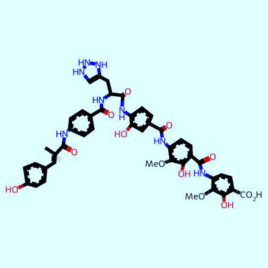 COc1c(NC(=O)c2ccc(NC(=O)c3ccc(NC(=O)C(CC4=CNNN4)NC(=O)c4ccc(NC(=O)/C(C)=C/c5ccc(O)cc5)cc4)c(O)c3)c(OC)c2O)ccc(C(=O)O)c1O